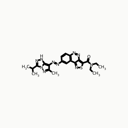 CCN(CC)C(=O)c1snc2c1nnc1ccc(/N=N/c3c(C)nn4c(C(C)C)n[nH]c34)cc12